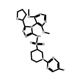 COc1ncnc(OC)c1-n1c(NS(=O)(=O)C2CCCN(c3ncc(F)cn3)C2)nnc1C1CCCO1